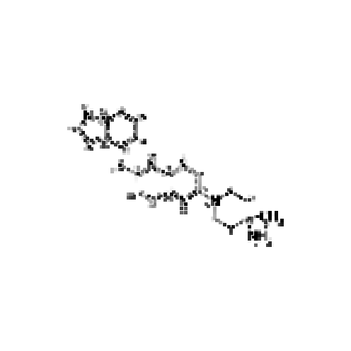 CC1(N)CCN(c2cnc3nc(Sc4cccn5nccc45)ccc3n2)CC1